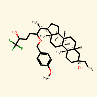 CC[C@@]1(O)CC[C@@]2(C)[C@H](CC[C@@H]3[C@@H]2CC[C@]2(C)[C@@H]([C@H](C)C(CCC(O)C(F)(F)F)OCc4ccc(OC)cc4)CC[C@@H]32)C1